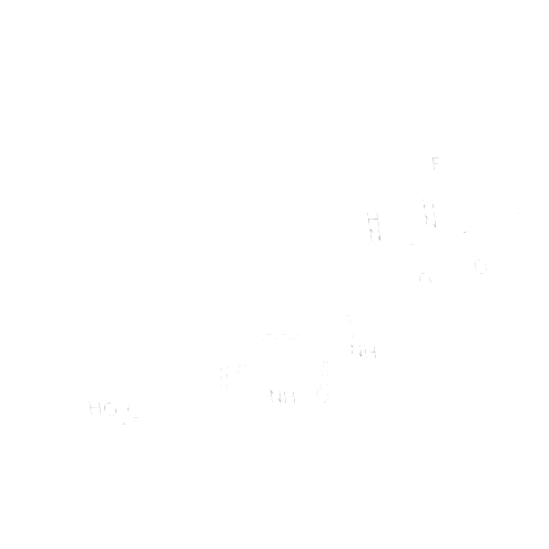 Cc1[nH]c(/C=C2\C(=O)Nc3cc(NC(=O)NC(=O)c4ccccc4F)ccc32)c(C)c1CCC(=O)O